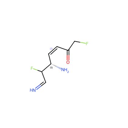 N=CC(F)[C@@H](N)/C=C\C(=O)CF